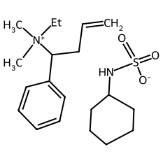 C=CCC(c1ccccc1)[N+](C)(C)CC.O=S(=O)([O-])NC1CCCCC1